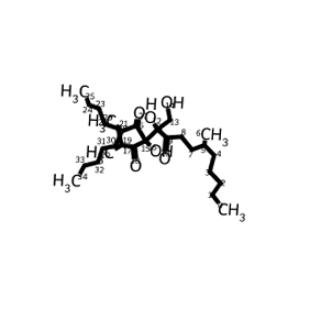 CCCCCC(C)CCC(=O)C(O)(CO)C(O)(C(=O)C(C)CCCCC)C(=O)C(C)CCCCC